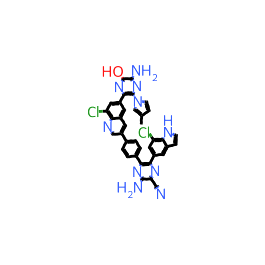 Cc1ccn(-c2nc(N)c(O)nc2-c2cc(Cl)c3ncc(-c4ccc(-c5nc(N)c(C#N)nc5-c5cc(Cl)c6[nH]ccc6c5)cc4)cc3c2)c1